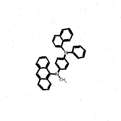 CN(c1ccc(N(c2ccccc2)c2cccc3ccccc23)cc1)c1c2ccccc2cc2ccccc12